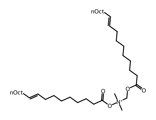 CCCCCCCCC=CCCCCCCCC(=O)OC[N+](C)(C)OC(=O)CCCCCCCC=CCCCCCCCC